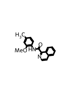 COc1cc(C)ccc1NC(=O)c1nccc2ccccc12